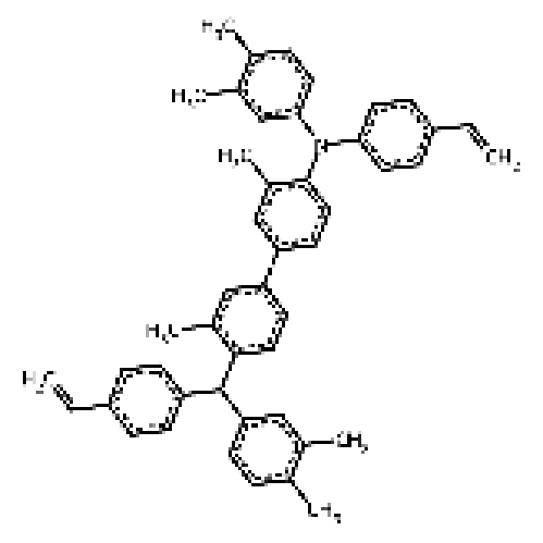 C=Cc1ccc(C(c2ccc(C)c(C)c2)c2ccc(-c3ccc(N(c4ccc(C=C)cc4)c4ccc(C)c(C)c4)c(C)c3)cc2C)cc1